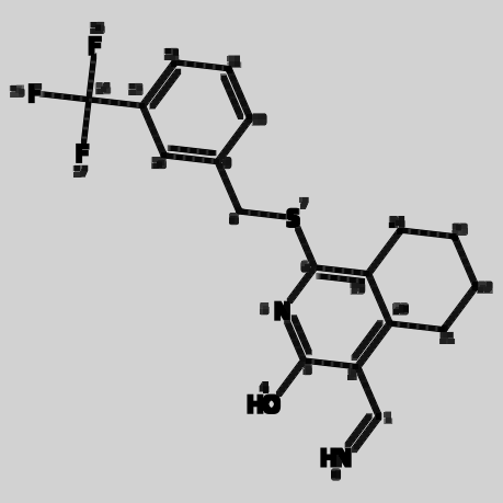 N=Cc1c(O)nc(SCc2cccc(C(F)(F)F)c2)c2c1CCCC2